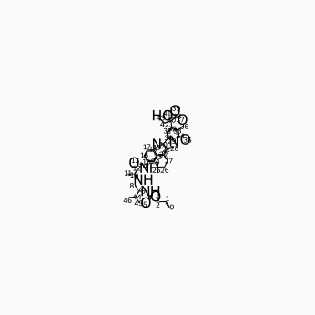 C=CCOC(=O)N[C@H](CN[C@@H](C)C(=O)Nc1ccc2nc3c(c4c2c1CCC4)Cn1c-3cc2c(c1=O)COC(=O)[C@]2(O)CC)C(C)C